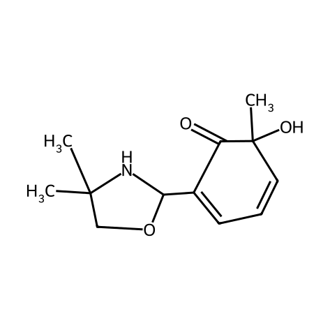 CC1(C)COC(C2=CC=CC(C)(O)C2=O)N1